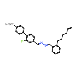 C=CCCCCc1ccccc1C=NN=Cc1ccc(-c2ccc(CCCCC)cc2)c(F)c1